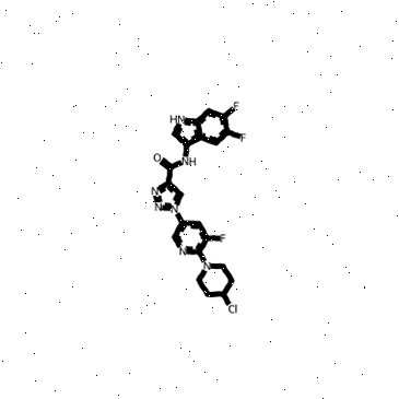 O=C(Nc1c[nH]c2cc(F)c(F)cc12)c1cn(-c2cnc(N3CCC(Cl)CC3)c(F)c2)nn1